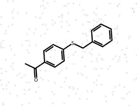 CC(=O)c1ccc(SCc2ccccc2)cc1